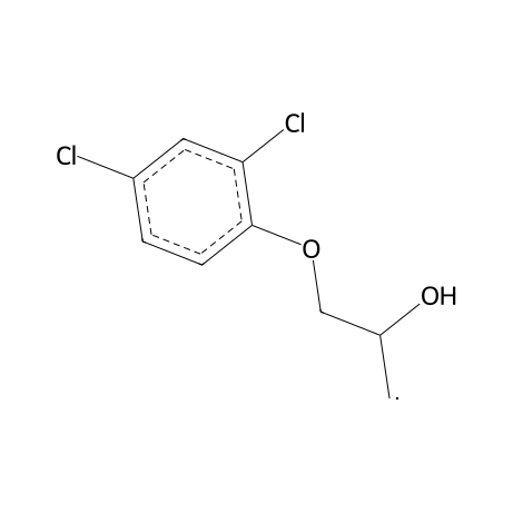 [CH2]C(O)COc1ccc(Cl)cc1Cl